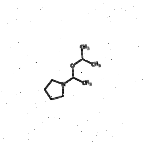 CC(C)OC(C)N1CCCC1